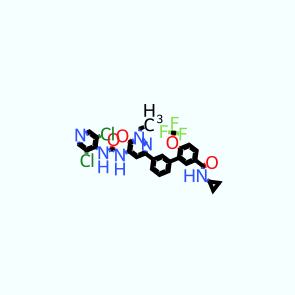 CCn1nc(-c2cccc(-c3cc(C(=O)NC4CC4)ccc3OC(F)(F)F)c2)cc(NC(=O)Nc2c(Cl)cncc2Cl)c1=O